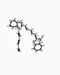 C#CC#CC#C[n+]1c(/C=C/C=C/C=C2\Sc3ccccc3N2C)sc2ccccc21